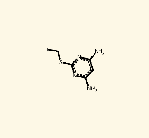 Nc1cc(N)nc(SCI)n1